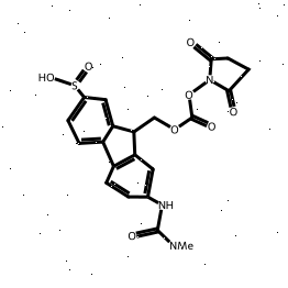 CNC(=O)Nc1ccc2c(c1)C(COC(=O)ON1C(=O)CCC1=O)c1cc(S(=O)O)ccc1-2